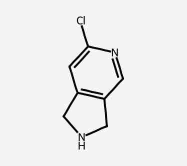 Clc1cc2c(cn1)CNC2